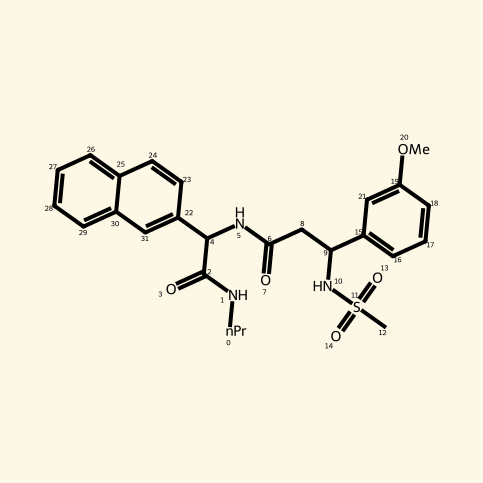 CCCNC(=O)C(NC(=O)CC(NS(C)(=O)=O)c1cccc(OC)c1)c1ccc2ccccc2c1